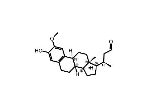 COc1cc2c(cc1O)CC[C@@H]1[C@@H]2CC[C@]2(C)[C@@H]([C@H](C)CC=O)CC[C@@H]12